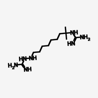 CC(C)(CCCCCCCNNC(=N)N)NC(=N)N